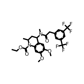 CCOC(=O)N1c2cc(OC)c(OC)cc2C(N(C)C(=O)Cc2cc(C(F)(F)F)cc(C(F)(F)F)c2)CC1C